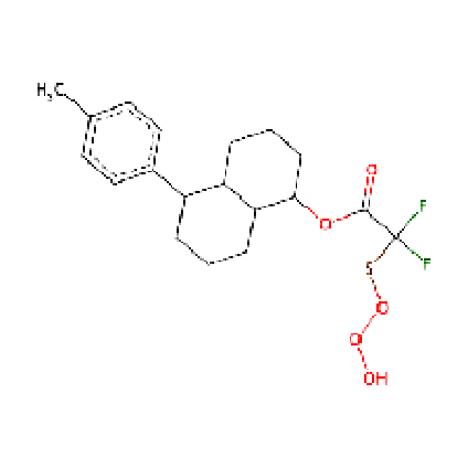 Cc1ccc(C2CCCC3C(OC(=O)C(F)(F)SOOO)CCCC23)cc1